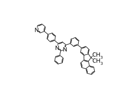 CC1(C)c2ccc(-c3cccc(-c4cc(-c5ccc(-c6cccnc6)cc5)nc(-c5ccccc5)n4)c3)cc2-c2ccc3ccccc3c21